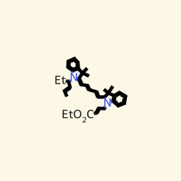 C/C=C/C(CC)N1/C(=C/C=C/C=C/C2N(C/C=C/C(=O)OCC)c3ccccc3C2(C)C)C(C)(C)c2ccccc21